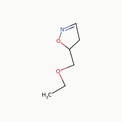 CCOCC1C[C]=NO1